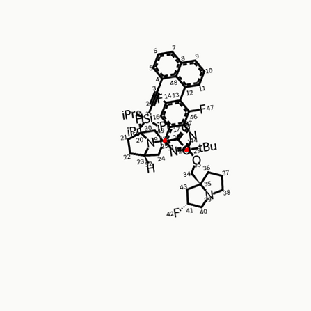 CC(C)[Si](C#Cc1cccc2cccc(-c3c(F)cc4c(N5[C@@H]6CC[C@H]5CN(C(=O)OC(C)(C)C)C6)nc(OC[C@@]56CCCN5C[C@H](F)C6)nc4c3F)c12)(C(C)C)C(C)C